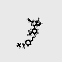 CC(C)(C)OC(=O)N1CCC(CCOc2ccc(-c3nc(C#N)nc4[nH]ccc34)cc2C(F)(F)F)CC1